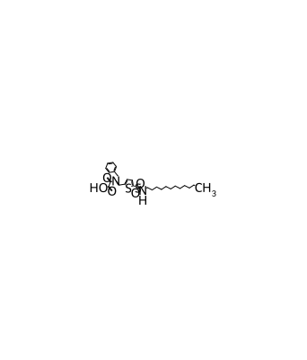 CCCCCCCCCCCCNS(=O)(=O)c1ccc(CN(Cc2ccccc2)C(=O)C(=O)O)s1